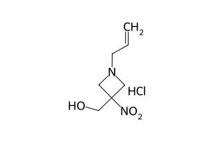 C=CCN1CC(CO)([N+](=O)[O-])C1.Cl